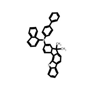 CC1(C)c2ccc3c(sc4ccccc43)c2C2C=CC(N(c3ccc(-c4ccccc4)cc3)c3cccc4ccccc34)=CC21